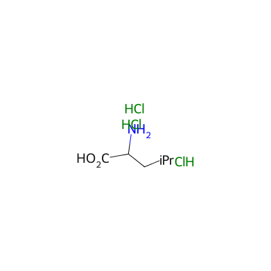 CC(C)CC(N)C(=O)O.Cl.Cl.Cl